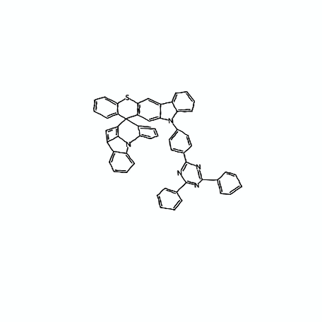 c1ccc(-c2nc(-c3ccccc3)nc(-c3ccc(-n4c5ccccc5c5cc6c(cc54)C4(c5ccccc5S6)c5ccccc5-n5c6ccccc6c6cccc4c65)cc3)n2)cc1